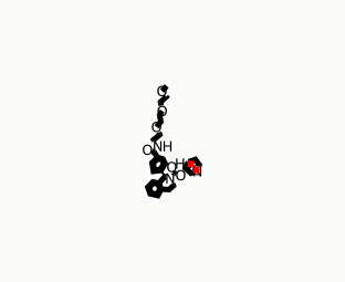 COCCOCCOCCNC(=O)c1ccc([C@@H]2c3ccccc3CCN2C(=O)O[C@@H]2CN3CCC2CC3)cc1